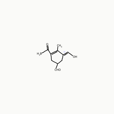 BC(=O)C1=C(C)/C(=C/O)CC(C=O)C1